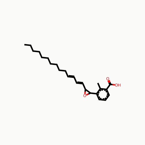 CCCCCCCCCCC=CC=CC1OC1c1cccc(C(=O)O)c1C